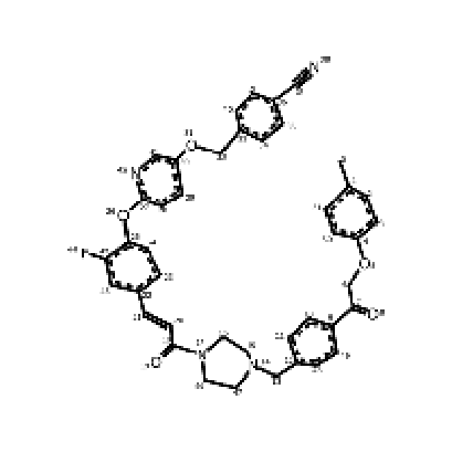 Cc1ccc(OCC(=O)c2ccc(CN3CCN(C(=O)C=Cc4ccc(Oc5ccc(OCc6ccc(C#N)cc6)cn5)c(F)c4)CC3)cc2)cc1